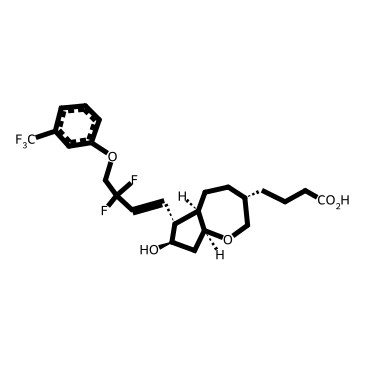 O=C(O)CCC[C@H]1CC[C@@H]2[C@@H](C=CC(F)(F)COc3cccc(C(F)(F)F)c3)[C@H](O)C[C@@H]2OC1